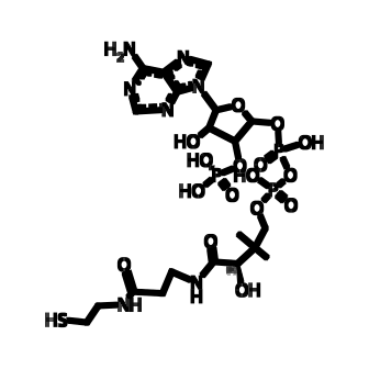 CC(C)(COP(=O)(O)OP(=O)(O)OC1OC(n2cnc3c(N)ncnc32)C(O)C1OP(=O)(O)O)[C@@H](O)C(=O)NCCC(=O)NCCS